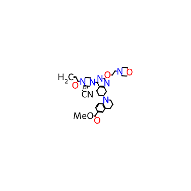 C=CC(=O)N1CCN(c2nc(OCCN3CCOCC3)nc3c2CCC(N2CCCc4cc(C(=O)OC)ccc42)C3)C[C@@H]1CC#N